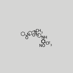 CN(CC1CCN(C(=O)C2CCCCC2)CC1)C(=O)N1CCC(Nc2ccc(N=O)c(C(F)(F)F)c2)CC1